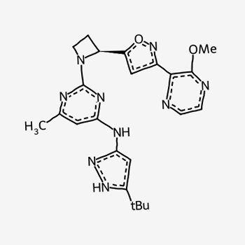 COc1nccnc1-c1cc([C@@H]2CCN2c2nc(C)cc(Nc3cc(C(C)(C)C)[nH]n3)n2)on1